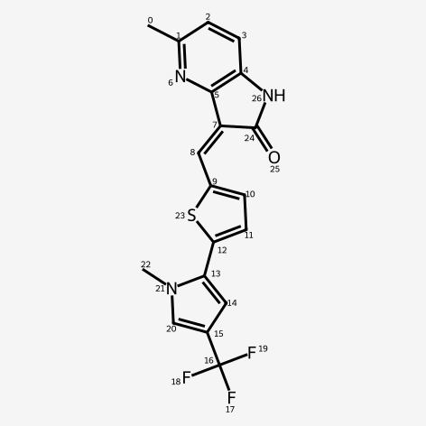 Cc1ccc2c(n1)C(=Cc1ccc(-c3cc(C(F)(F)F)cn3C)s1)C(=O)N2